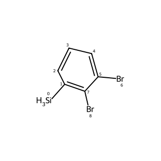 [SiH3]c1cccc(Br)c1Br